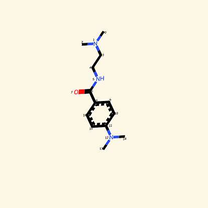 CN(C)CCNC(=O)c1ccc(N(C)C)cc1